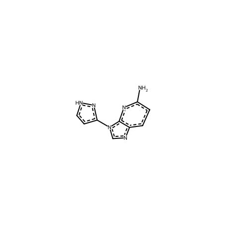 Nc1ccc2ncn(-c3cc[nH]n3)c2n1